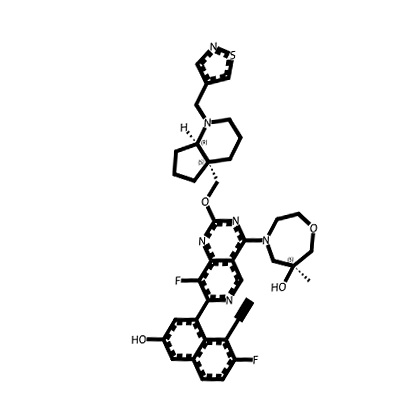 C#Cc1c(F)ccc2cc(O)cc(-c3ncc4c(N5CCOC[C@@](C)(O)C5)nc(OC[C@]56CCC[C@H]5N(Cc5cnsc5)CCC6)nc4c3F)c12